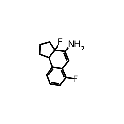 NC1=Cc2c(F)cccc2C2CCCC12F